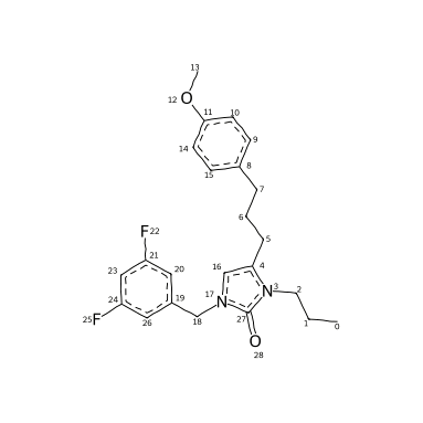 CCCn1c(CCCc2ccc(OC)cc2)cn(Cc2cc(F)cc(F)c2)c1=O